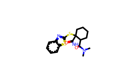 CN(C)C(=O)C1CCCCC1(Sc1nc2ccccc2s1)C(N)=O